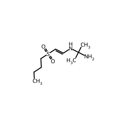 CCCCS(=O)(=O)C=CNC(C)(C)N